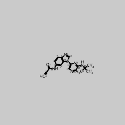 C#CC(=O)Nc1ccc2ncn(-c3cncc(NC(C)(C)C)n3)c2c1